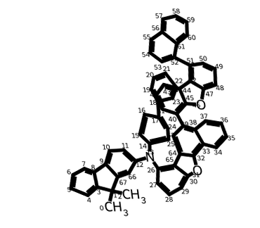 CC1(C)c2ccccc2-c2ccc(N(c3ccc(-c4ccccc4)cc3)c3cccc4oc5c6ccccc6c(-c6cccc7c6oc6cccc(-c8cccc9ccccc89)c67)cc5c34)cc21